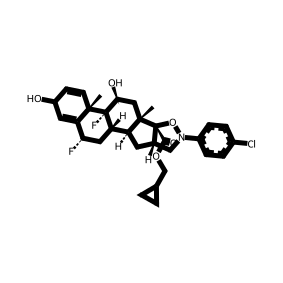 C[C@]12C=CC(O)C=C1[C@@H](F)C[C@H]1[C@@H]3C[C@H]4CN(c5ccc(Cl)cc5)O[C@@]4(C(=O)OCC4CC4)[C@@]3(C)C[C@H](O)[C@@]12F